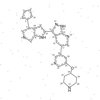 c1csc(-c2cncc3[nH]c(-c4n[nH]c5ncc(-c6cncc(OC7CCNCC7)c6)cc45)cc23)c1